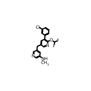 CNc1cncc(Cc2cnc(OC(F)F)c(-c3cccc(Cl)c3)c2)c1